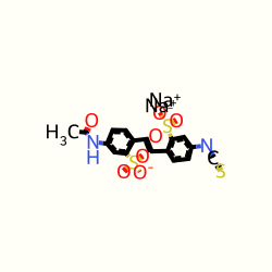 CC(=O)Nc1ccc(C=Cc2ccc(N=C=S)cc2S(=O)(=O)[O-])c(S(=O)(=O)[O-])c1.[Na+].[Na+]